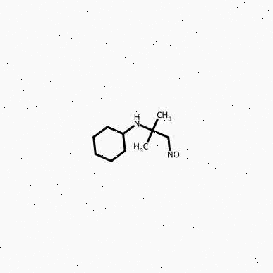 CC(C)(CN=O)NC1CCCCC1